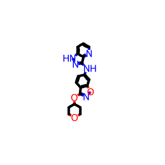 c1cnc2c(Nc3ccc4c(OC5CCOCC5)noc4c3)n[nH]c2c1